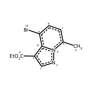 CCOC(=O)c1cnn2c(C)ccc(Br)c12